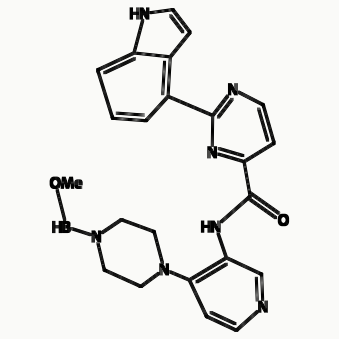 COBN1CCN(c2ccncc2NC(=O)c2ccnc(-c3cccc4[nH]ccc34)n2)CC1